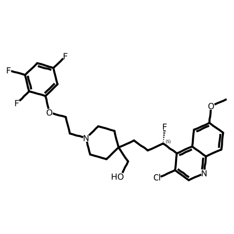 COc1ccc2ncc(Cl)c([C@@H](F)CCC3(CO)CCN(CCOc4cc(F)cc(F)c4F)CC3)c2c1